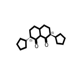 O=C1C2C(=O)[C@H](C3CCCC3)CCC2CC[C@H]1C1CCCC1